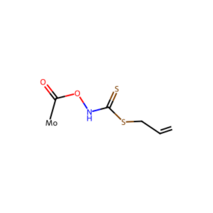 C=CCSC(=S)NO[C](=O)[Mo]